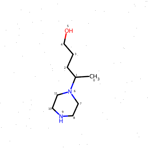 CC(CCCO)N1CCNCC1